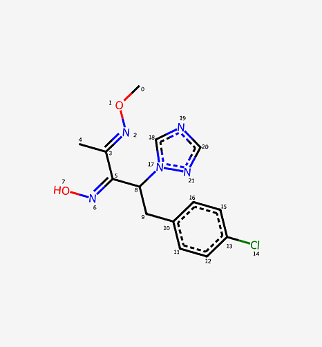 CON=C(C)C(=NO)C(Cc1ccc(Cl)cc1)n1cncn1